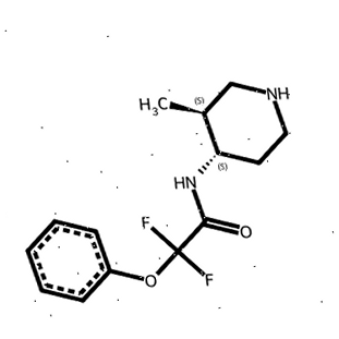 C[C@H]1CNCC[C@@H]1NC(=O)C(F)(F)Oc1ccccc1